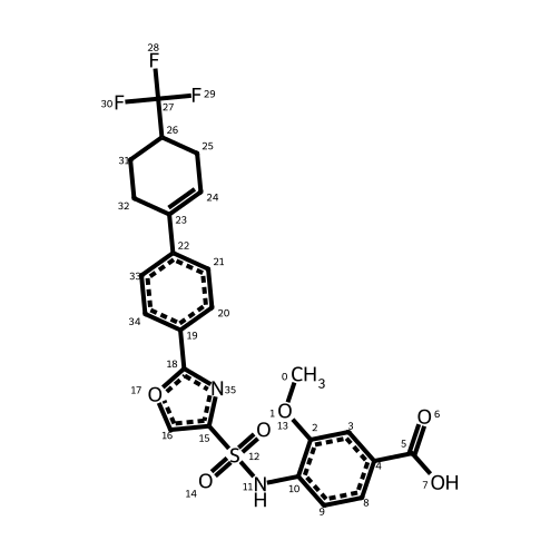 COc1cc(C(=O)O)ccc1NS(=O)(=O)c1coc(-c2ccc(C3=CCC(C(F)(F)F)CC3)cc2)n1